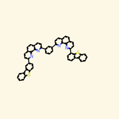 c1cc(-c2ccc3ccc4ccc(-c5ccc6sc7ccccc7c6c5)nc4c3n2)cc(-c2ccc3ccc4ccc(-c5cccc6c5sc5ccccc56)nc4c3n2)c1